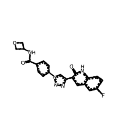 O=C(NC1COC1)c1ccc(-n2cc(-c3cc4cc(F)ccc4[nH]c3=O)nn2)cc1